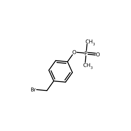 CP(C)(=O)Oc1ccc(CBr)cc1